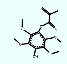 C=C(C)C(=O)Oc1c(OC)c(OC)c(O)c(OC)c1OC